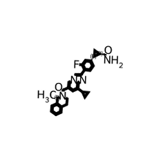 C[C@@H]1c2ccccc2CCN1C(=O)c1cc(C2CC2)c2nc(-c3ccc([C@@H]4C[C@H]4C(N)=O)cc3F)cn2c1